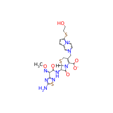 CO/N=C(\C(=O)N[C@@H]1C(=O)N2C(C(=O)[O-])=C(Cn3cc[n+]4c(SCCO)ccc-4c3)CS[C@@H]12)c1nsc(N)n1